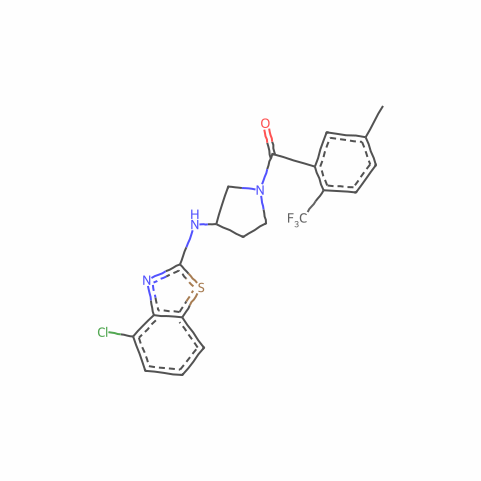 Cc1ccc(C(F)(F)F)c(C(=O)N2CCC(Nc3nc4c(Cl)cccc4s3)C2)c1